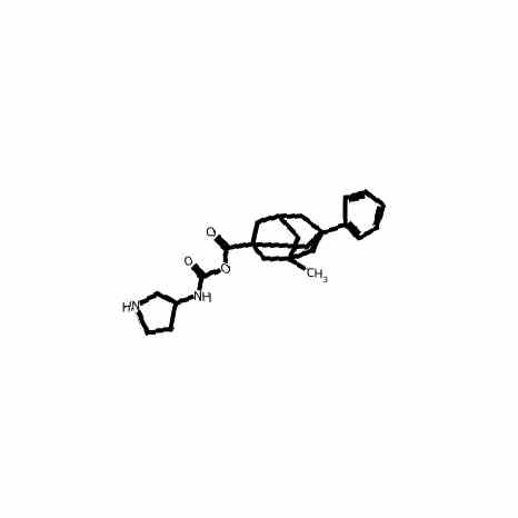 CC12CC3CC(C(=O)OC(=O)NC4CCNC4)(C1)CC(c1ccccc1)(C3)C2